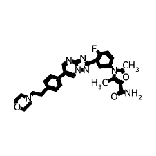 CC1=C(C(N)=O)OC(C)N1c1ccc(F)c(-c2nc3ncc(-c4ccc(CCN5CCOCC5)cc4)cn3n2)c1